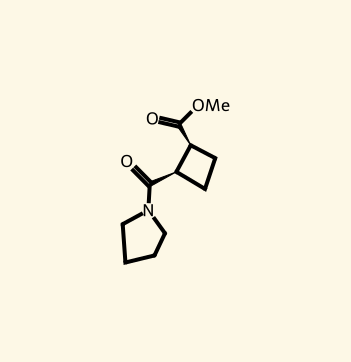 COC(=O)[C@H]1CC[C@H]1C(=O)N1CCCC1